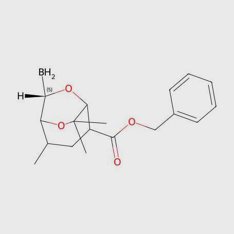 B[C@@H]1OC2C(C(=O)OCc3ccccc3)CC(C)C1OC2(C)C